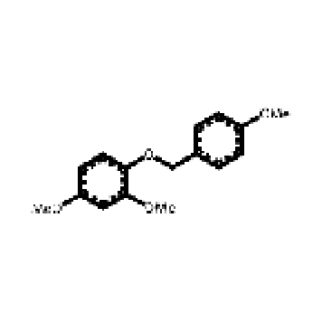 COc1ccc(COc2ccc(OC)cc2OC)cc1